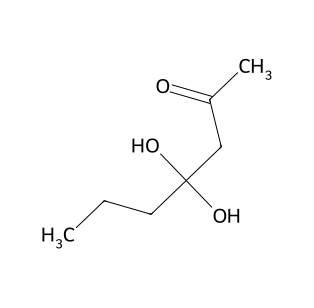 CCCC(O)(O)CC(C)=O